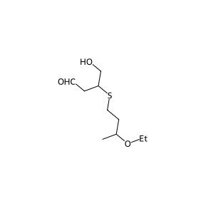 CCOC(C)CCSC(CO)CC=O